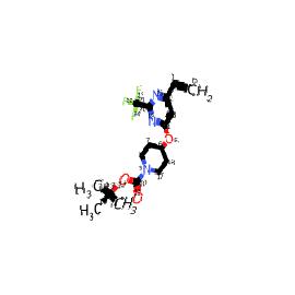 C=Cc1cc(OC2CCN(C(=O)OC(C)(C)C)CC2)nc(C(F)(F)F)n1